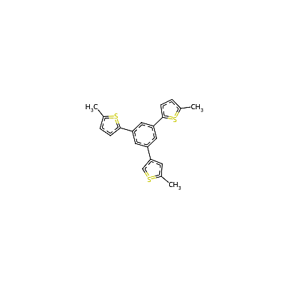 Cc1cc(-c2cc(-c3ccc(C)s3)cc(-c3ccc(C)s3)c2)cs1